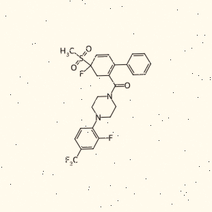 CS(=O)(=O)C1(F)C=CC(c2ccccc2)=C(C(=O)N2CCN(c3ccc(C(F)(F)F)cc3F)CC2)C1